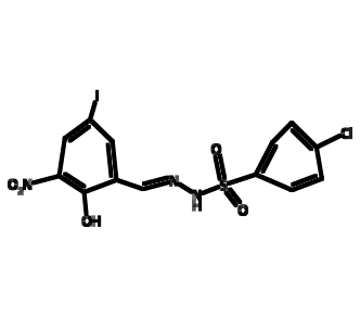 O=[N+]([O-])c1cc(I)cc(/C=N/NS(=O)(=O)c2ccc(Cl)cc2)c1O